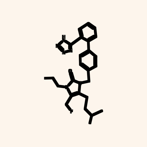 CCCn1c(CF)c(CCC(C)C)n(Cc2ccc(-c3ccccc3-c3nnn[nH]3)cc2)c1=O